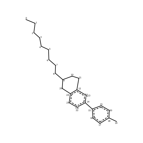 CCCCCCCCCC1CCc2nc(-c3ccc(C)cc3)ncc2C1